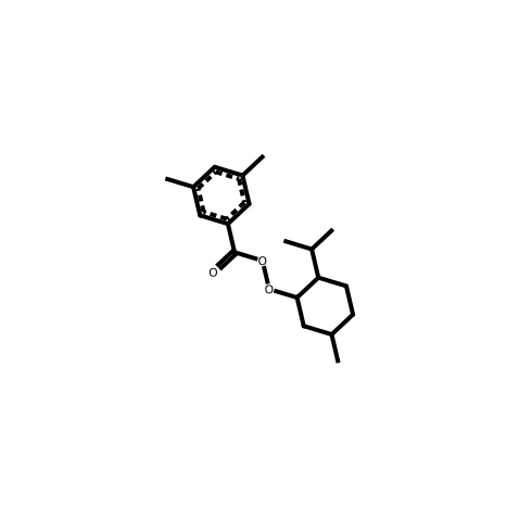 Cc1cc(C)cc(C(=O)OO[C]2CC(C)CCC2C(C)C)c1